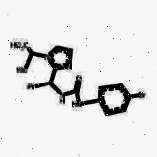 CC(C)[C@H](NC(=O)Nc1ccc(Br)cc1)c1nccn1C(C(=O)O)C(C)(C)C